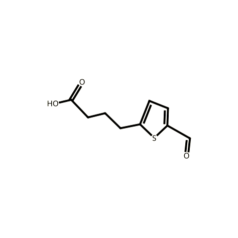 O=Cc1ccc(CCCC(=O)O)s1